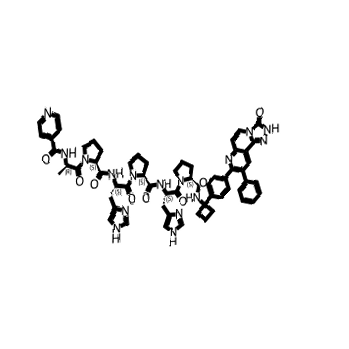 C[C@@H](NC(=O)c1ccncc1)C(=O)N1CCC[C@H]1C(=O)N[C@@H](Cc1c[nH]cn1)C(=O)N1CCC[C@H]1C(=O)N[C@@H](Cc1c[nH]cn1)C(=O)N1CCC[C@H]1C(=O)NC1(c2ccc(-c3nc4ccn5c(=O)[nH]nc5c4cc3-c3ccccc3)cc2)CCC1